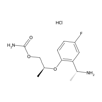 C[C@@H](COC(N)=O)Oc1ccc(F)cc1[C@@H](C)N.Cl